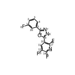 Fc1cccc(-c2nnc(-c3cc(F)c(F)nc3F)o2)c1